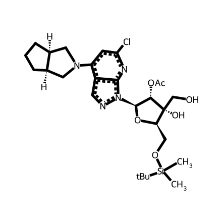 CC(=O)O[C@H]1[C@H](n2ncc3c(N4C[C@H]5CCC[C@H]5C4)cc(Cl)nc32)O[C@H](CO[Si](C)(C)C(C)(C)C)[C@]1(O)CO